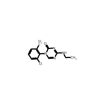 CCNc1ncn(-c2c(C)cccc2Cl)c(=O)n1